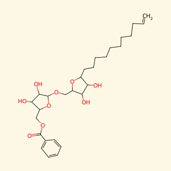 C=CCCCCCCCCCC1OC(COC2OC(COC(=O)c3ccccc3)C(O)C2O)C(O)C1O